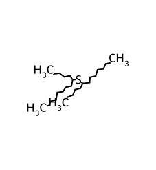 CCCCCCCCC(CCCCC)SC(CCCCC)CCCCCCCC